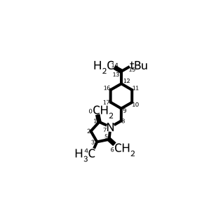 C=C1CC(C)C(=C)N1CC1CCC(C(=C)C(C)(C)C)CC1